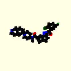 CN(C(=O)c1ccc2c(c1)C(NC(=O)c1cc(F)ccc1Cl)CC2)C1CCN(c2ccc3cnccc3c2)CC1